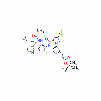 CCC(=O)NC(CCC1CC1)(c1cccnc1)c1ccc(F)c(NC(=O)c2cc(C(F)(F)F)nn2-c2cccc(CNC(=O)OC(C)(C)C)c2)c1